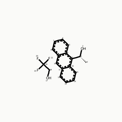 C[C@@H](O)c1c2ccccc2cc2ccccc12.OCC(F)(F)F